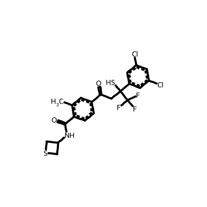 Cc1cc(C(=O)CC(S)(c2cc(Cl)cc(Cl)c2)C(F)(F)F)ccc1C(=O)NC1CSC1